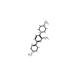 Cc1cc(C2=NC[C@@H](C)CC2)ccc1N1CCN(C)CC1